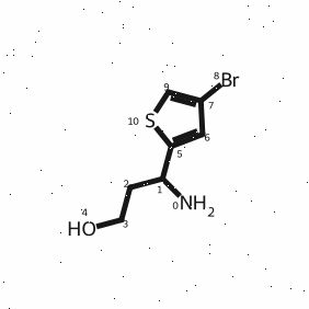 NC(CCO)c1cc(Br)cs1